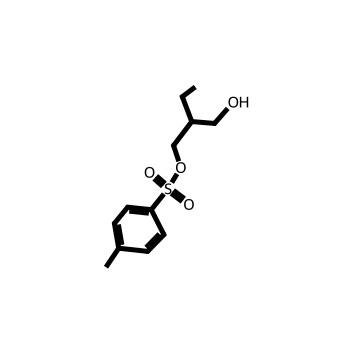 CCC(CO)COS(=O)(=O)c1ccc(C)cc1